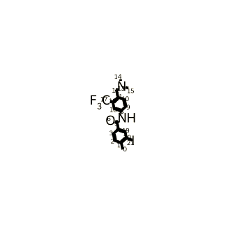 Cc1ccc(C(=O)Nc2ccc(CN(C)C)c(C(F)(F)F)c2)cc1I